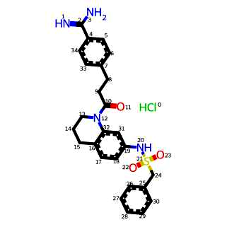 Cl.N=C(N)c1ccc(CCC(=O)N2CCCc3ccc(NS(=O)(=O)Cc4ccccc4)cc32)cc1